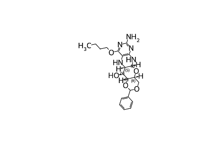 CCCCOc1nc(N)nc2c1N[C@H]1[C@H](O)[C@H]3OC(c4ccccc4)OC[C@H]3O[C@H]1N2